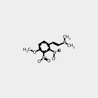 COc1ccc(/C=C/N(C)C)c([N+](=O)[O-])c1[N+](=O)[O-]